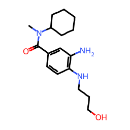 CN(C(=O)c1ccc(NCCCO)c(N)c1)C1CCCCC1